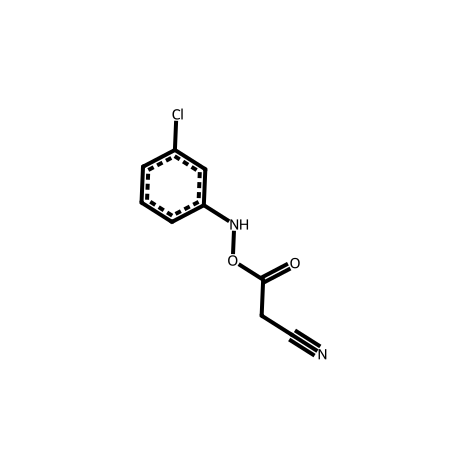 N#CCC(=O)ONc1cccc(Cl)c1